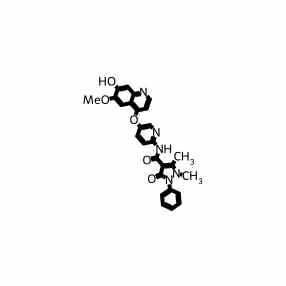 COc1cc2c(Oc3ccc(NC(=O)c4c(C)n(C)n(-c5ccccc5)c4=O)nc3)ccnc2cc1O